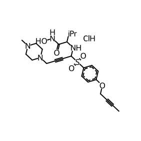 CC#CCOc1ccc(S(=O)(=O)C(C#CCN2CCN(C)CC2)NC(C(=O)NO)C(C)C)cc1.Cl